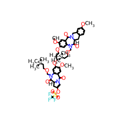 COc1ccc2c(c1)CN1C(=O)c3cc(OC)c(OCCCOc4cc5c(cc4OC)C(=O)N4C=C(OS(=O)(=O)C(F)(F)F)C[C@H]4C(=O)N5COCC[Si](C)(C)C)cc3N(COCC[Si](C)(C)C)C(=O)[C@@H]1C2